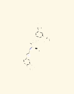 N#C/C(=C\C=C\c1ccc(O)c(O)c1)C(=O)NCc1cc(C(F)(F)F)cc(C(F)(F)F)c1